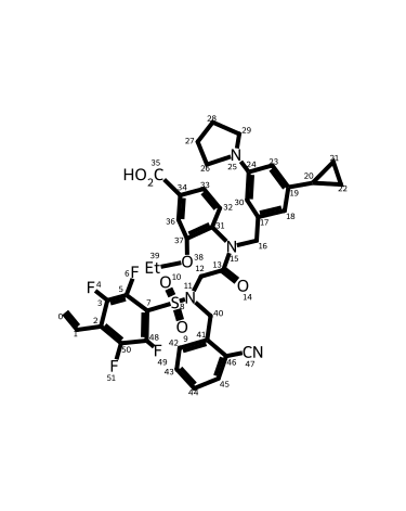 C=Cc1c(F)c(F)c(S(=O)(=O)N(CC(=O)N(Cc2cc(C3CC3)cc(N3CCCC3)c2)c2ccc(C(=O)O)cc2OCC)Cc2ccccc2C#N)c(F)c1F